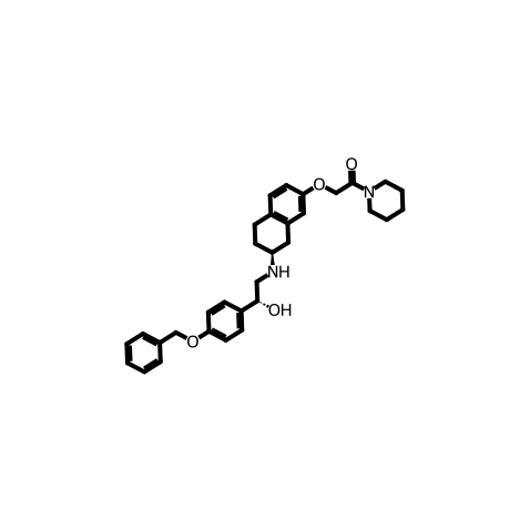 O=C(COc1ccc2c(c1)C[C@@H](NC[C@H](O)c1ccc(OCc3ccccc3)cc1)CC2)N1CCCCC1